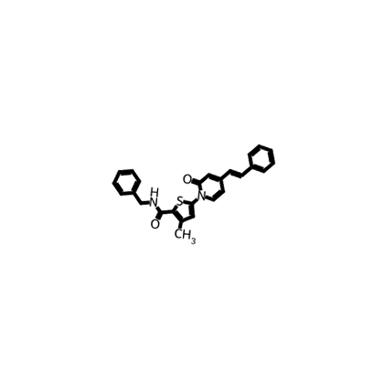 Cc1cc(-n2ccc(C=Cc3ccccc3)cc2=O)sc1C(=O)NCc1ccccc1